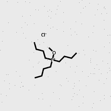 CCCC[P+](CCCC)(CCCC)OC.[Cl-]